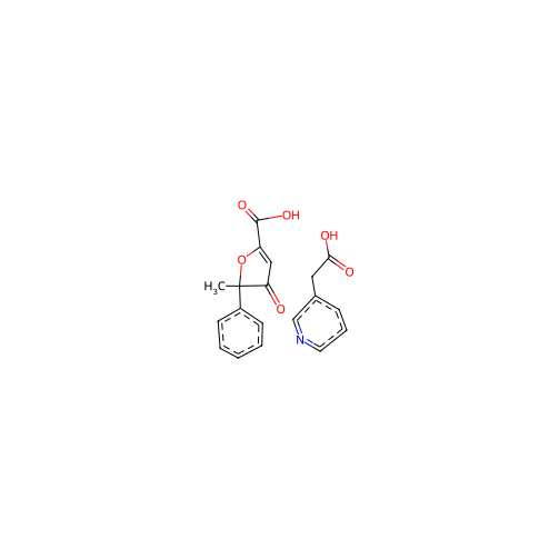 CC1(c2ccccc2)OC(C(=O)O)=CC1=O.O=C(O)Cc1cccnc1